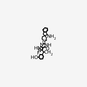 C=C(c1cccc(O)c1F)c1n[nH]c2nc(N3CCC4(CC3)Cc3ccccc3[C@H]4N)[nH]c(=O)c12